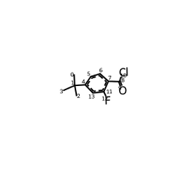 CC(C)(C)c1ccc(C(=O)Cl)c(F)c1